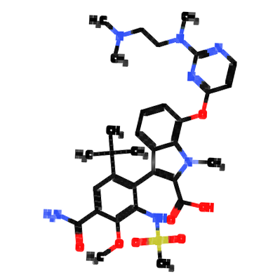 COc1c(C(N)=O)cc(C(C)(C)C)c(-c2c(C(=O)O)n(C)c3c(Oc4ccnc(N(C)CCN(C)C)n4)cccc23)c1NS(C)(=O)=O